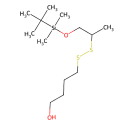 CC(CO[Si](C)(C)C(C)(C)C)SSCCCCO